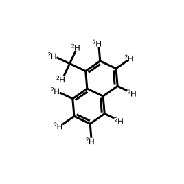 [2H]c1c([2H])c([2H])c2c(C([2H])([2H])[2H])c([2H])c([2H])c([2H])c2c1[2H]